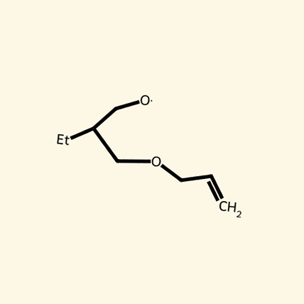 C=CCOCC(CC)C[O]